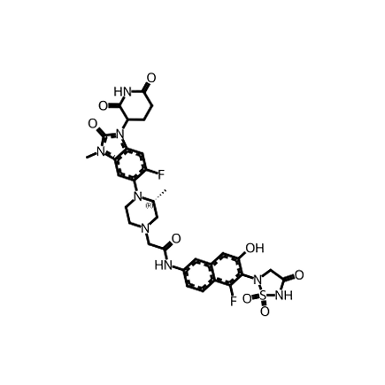 C[C@@H]1CN(CC(=O)Nc2ccc3c(F)c(N4CC(=O)NS4(=O)=O)c(O)cc3c2)CCN1c1cc2c(cc1F)n(C1CCC(=O)NC1=O)c(=O)n2C